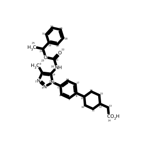 Cc1nnn(-c2ccc(C3CCC(CC(=O)O)CC3)cc2)c1NC(=O)OC(C)c1ccccc1